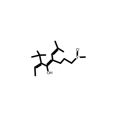 C/C=C(\C(O)=C(/C=C(C)C)CCC[S+](C)[O-])C(C)(C)C